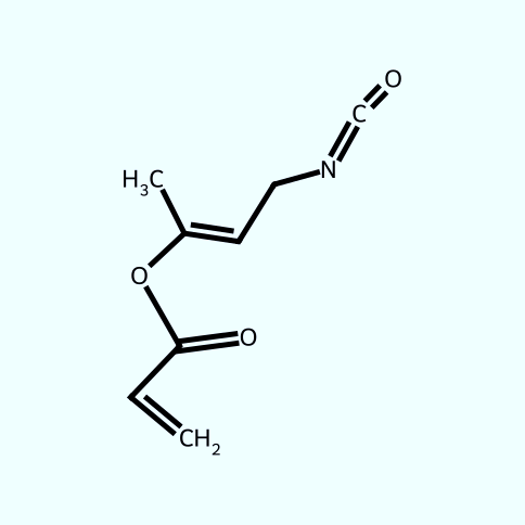 C=CC(=O)OC(C)=CCN=C=O